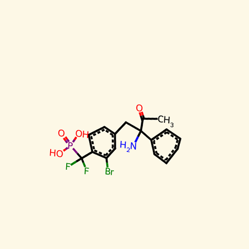 CC(=O)C(N)(Cc1ccc(C(F)(F)P(=O)(O)O)c(Br)c1)c1ccccc1